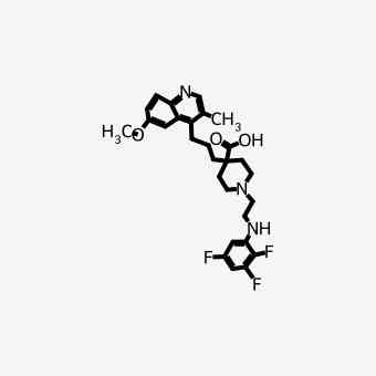 COc1ccc2ncc(C)c(CCCC3(C(=O)O)CCN(CCNc4cc(F)cc(F)c4F)CC3)c2c1